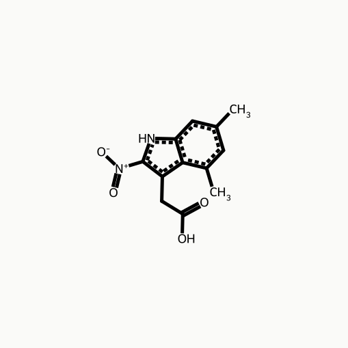 Cc1cc(C)c2c(CC(=O)O)c([N+](=O)[O-])[nH]c2c1